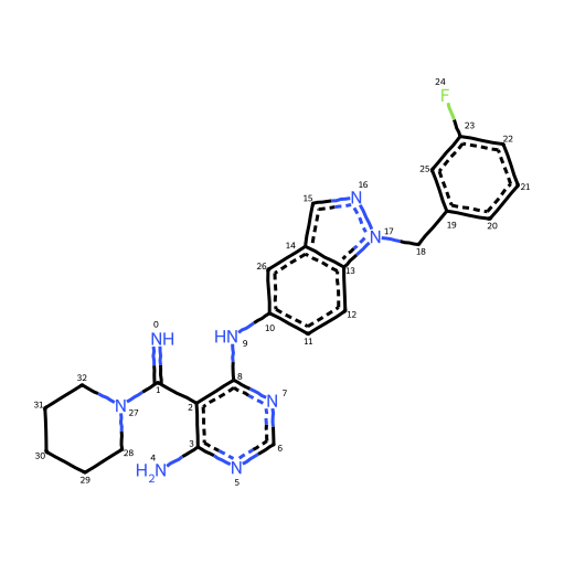 N=C(c1c(N)ncnc1Nc1ccc2c(cnn2Cc2cccc(F)c2)c1)N1CCCCC1